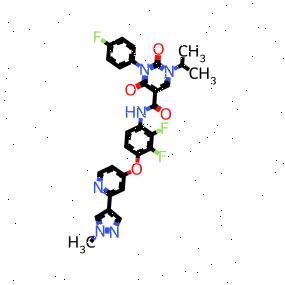 CC(C)n1cc(C(=O)Nc2ccc(Oc3ccnc(-c4cnn(C)c4)c3)c(F)c2F)c(=O)n(-c2ccc(F)cc2)c1=O